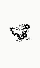 CC(C)=CCC/C(C)=C/CCC1(C)Oc2c(c(O)cc3c2CN(C(C(=O)O)c2ccccc2O)C3=O)CC1O